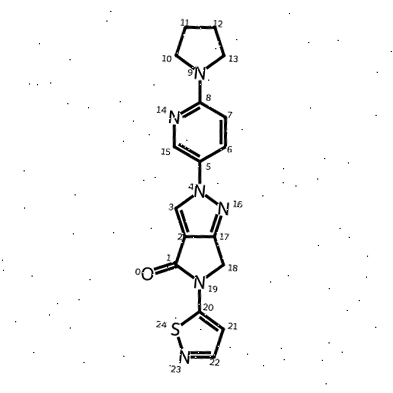 O=C1c2cn(-c3ccc(N4CCCC4)nc3)nc2CN1c1ccns1